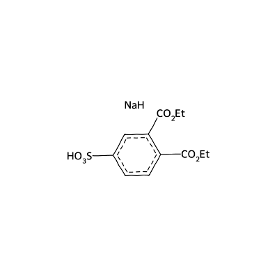 CCOC(=O)c1ccc(S(=O)(=O)O)cc1C(=O)OCC.[NaH]